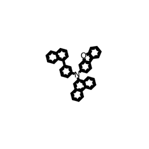 c1cc(-c2cccc3ccccc23)cc(N(c2ccc3c(c2)oc2ccccc23)c2cc3ccccc3c3ccccc23)c1